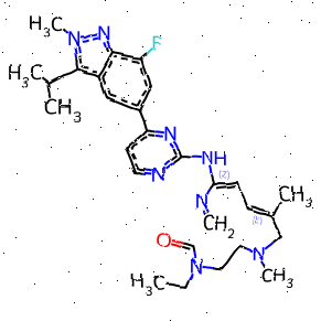 C=N/C(=C\C=C(/C)CN(C)CCN(C=O)CC)Nc1nccc(-c2cc(F)c3nn(C)c(C(C)C)c3c2)n1